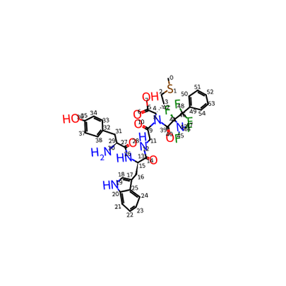 CSCC[C@@H](C(=O)O)N(C(=O)CNC(=O)[C@@H](Cc1c[nH]c2ccccc12)NC(=O)[C@@H](N)Cc1ccc(O)cc1)C(=O)[C@@](F)(N(F)F)C(F)(F)c1ccccc1